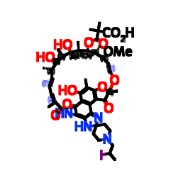 CO[C@H]1/C=C/O[C@@]2(C)Oc3c(C)c(O)c4c(c3C2=O)C2=NC3(CCN(CC(C)I)CC3)NC2=C(NC(=O)/C(C)=C\C=C\[C@H](C)[C@H](O)[C@@H](C)[C@@H](O)[C@@H](C)[C@H](OC(=O)C(C)(C)C(=O)O)[C@@H]1C)C4=O